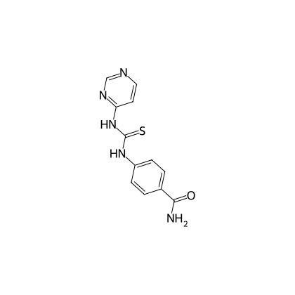 NC(=O)c1ccc(NC(=S)Nc2ccncn2)cc1